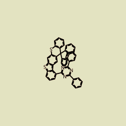 c1ccc(-c2nc(-c3ccccc3)nc(-c3cccc4sc5cc6c(cc5c34)C3(c4ccccc4S6)c4ccccc4-c4ccccc43)n2)cc1